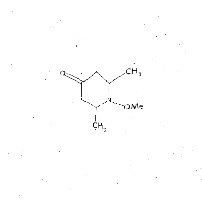 CON1C(C)CC(=O)CC1C